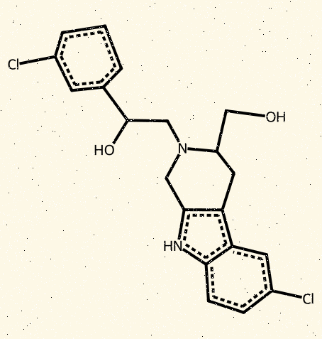 OCC1Cc2c([nH]c3ccc(Cl)cc23)CN1CC(O)c1cccc(Cl)c1